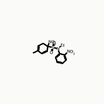 CCN(c1ccccc1[N+](=O)[O-])S(=O)(=O)C1([N+](=O)[O-])C=CC(C)=CC1